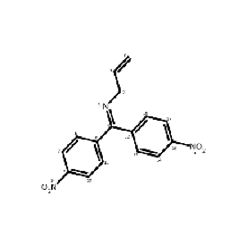 C=CCN=C(c1ccc([N+](=O)[O-])cc1)c1ccc([N+](=O)[O-])cc1